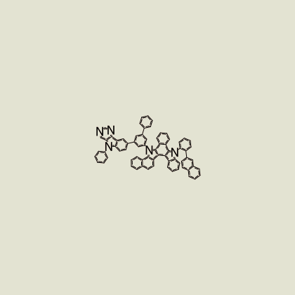 c1ccc(-c2cc(-c3ccc4c(c3)c3ncncc3n4-c3ccccc3)cc(-n3c4c5ccccc5ccc4c4c5c6ccccc6n(-c6ccccc6-c6ccc7ccccc7c6)c5c5ccccc5c43)c2)cc1